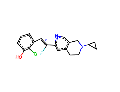 Oc1cccc(/C=C(\F)c2cc3c(cn2)CN(C2CC2)CC3)c1Cl